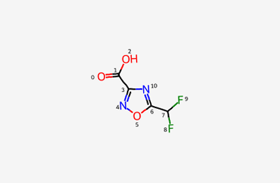 O=C(O)c1noc(C(F)F)n1